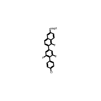 CCCCCCCc1ccc2c(F)c(-c3cc(F)c(-c4ccc(Cl)cc4)c(F)c3)ccc2c1